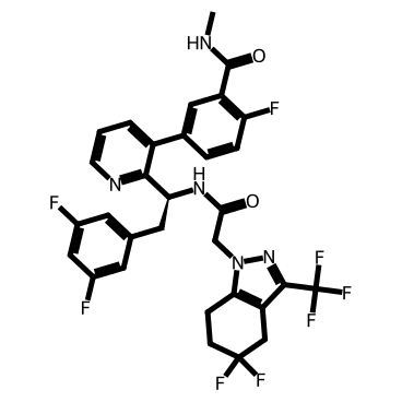 CNC(=O)c1cc(-c2cccnc2[C@H](Cc2cc(F)cc(F)c2)NC(=O)Cn2nc(C(F)(F)F)c3c2CCC(F)(F)C3)ccc1F